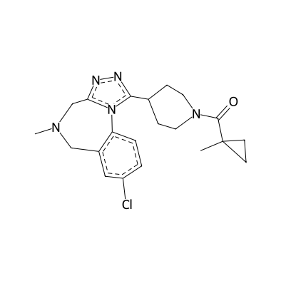 CN1Cc2cc(Cl)ccc2-n2c(nnc2C2CCN(C(=O)C3(C)CC3)CC2)C1